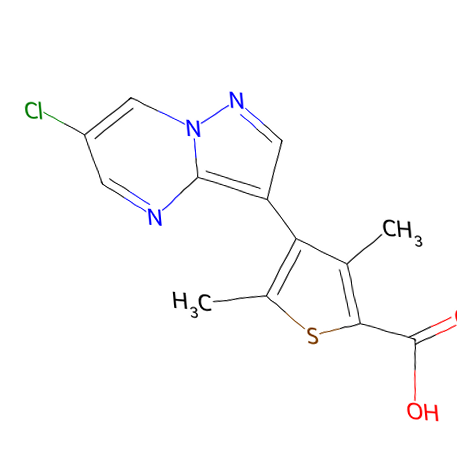 Cc1sc(C(=O)O)c(C)c1-c1cnn2cc(Cl)cnc12